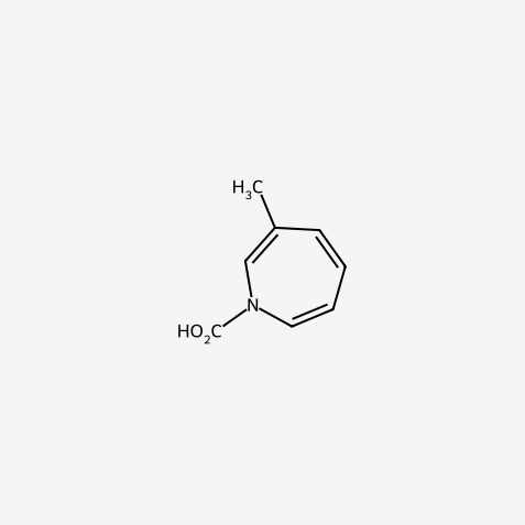 CC1=CN(C(=O)O)C=CC=C1